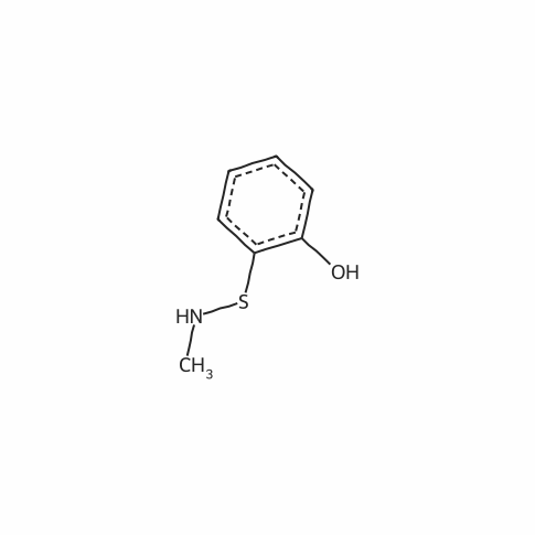 CNSc1ccccc1O